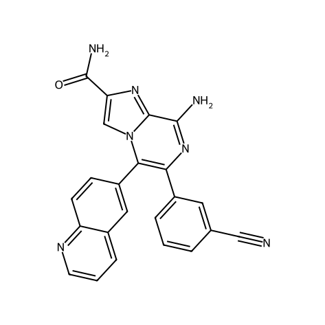 N#Cc1cccc(-c2nc(N)c3nc(C(N)=O)cn3c2-c2ccc3ncccc3c2)c1